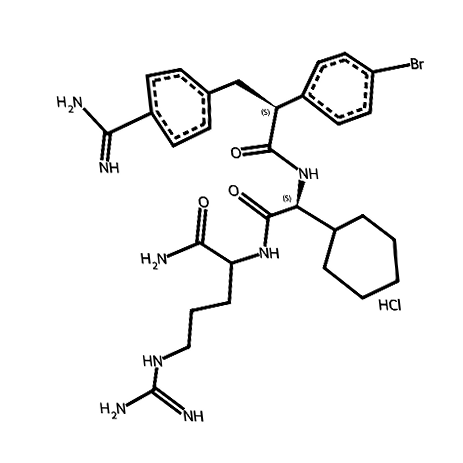 Cl.N=C(N)NCCCC(NC(=O)[C@@H](NC(=O)[C@@H](Cc1ccc(C(=N)N)cc1)c1ccc(Br)cc1)C1CCCCC1)C(N)=O